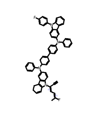 C#C/C(=C\C=C(/C)F)n1c2c(c3cc(N(c4ccccc4)C4C=CC(c5ccc(N(c6ccccc6)c6ccc7c(c6)c6ccccc6n7-c6ccc(F)cc6)cc5)=CC4)ccc31)CCC=C2